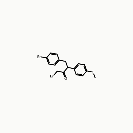 COc1ccc(C(Cc2ccc(Br)cc2)C(=O)CBr)cc1